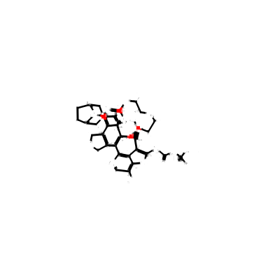 C[C@H](Oc1nc(N2C3CCC2CN(C(=O)O)C3)c2c3c(c(-c4ncc(F)c5sc(NC(=O)OC(C)(C)C)c(C#N)c45)c(F)c2n1)COC3)[C@H]1CN(C)CCO1